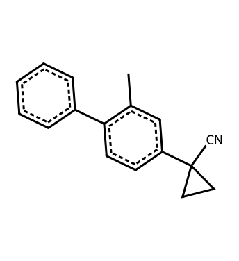 Cc1cc(C2(C#N)CC2)ccc1-c1ccccc1